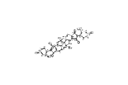 O=C1c2ccc(C(c3ccc4c(c3)C(=O)N(c3ccc(Cl)cc3Cl)C4=O)(C(F)(F)F)C(F)(F)F)cc2C(=O)N1c1ccc(Cl)cc1Cl